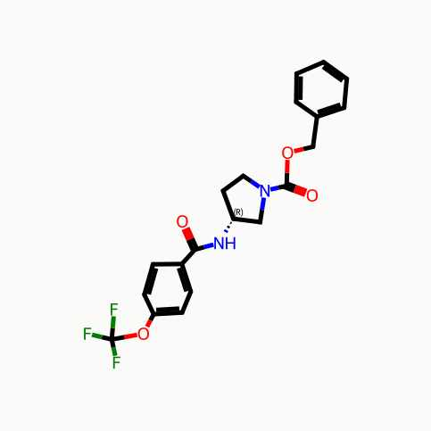 O=C(N[C@@H]1CCN(C(=O)OCc2ccccc2)C1)c1ccc(OC(F)(F)F)cc1